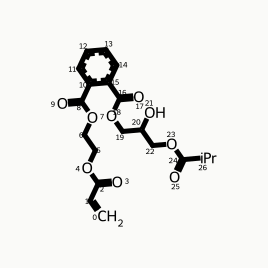 C=CC(=O)OCCOC(=O)c1ccccc1C(=O)OCC(O)COC(=O)C(C)C